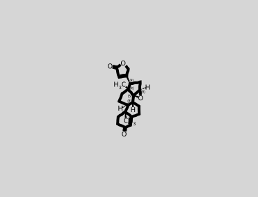 C[C@]12CCC(=O)C=C1CC[C@@H]1[C@@H]2CC[C@]2(C)[C@@H](C3=CC(=O)OC3)C[C@H]3O[C@]132